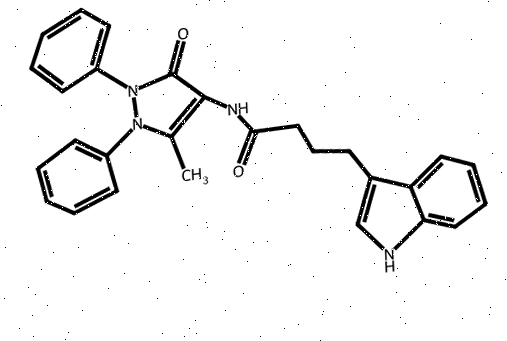 Cc1c(NC(=O)CCCc2c[nH]c3ccccc23)c(=O)n(-c2ccccc2)n1-c1ccccc1